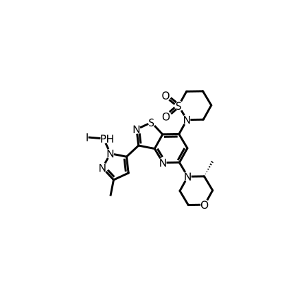 Cc1cc(-c2nsc3c(N4CCCCS4(=O)=O)cc(N4CCOC[C@H]4C)nc23)n(PI)n1